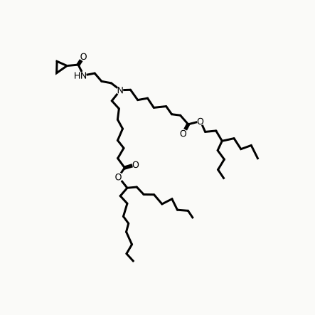 CCCCCCCCC(CCCCCCCC)OC(=O)CCCCCCCN(CCCCCCCC(=O)OCCC(CCCC)CCCC)CCCNC(=O)C1CC1